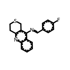 Fc1ccc(C=Nc2c3c(nc4ccccc24)CCSC3)cc1